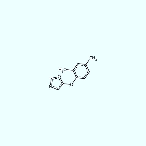 Cc1ccc(Oc2cn[c]o2)c(C)c1